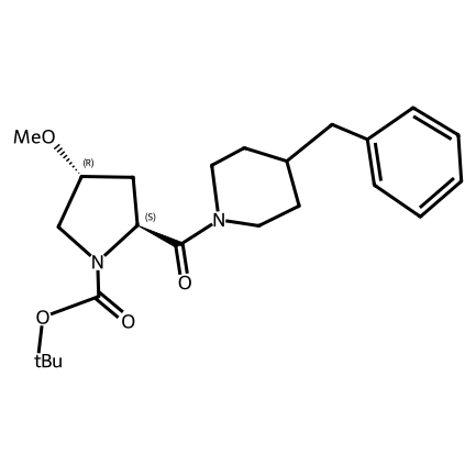 CO[C@@H]1C[C@@H](C(=O)N2CCC(Cc3ccccc3)CC2)N(C(=O)OC(C)(C)C)C1